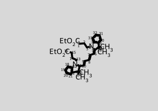 CCOC(=O)CCCN1C(=CC=CC=CC2N(CCCC(=O)OCC)c3ccccc3C2(C)C)C(C)(C)c2ccccc21